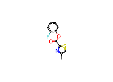 Cc1csc(C(=O)Oc2ccccc2F)n1